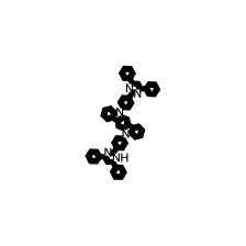 C1=C(c2ccccc2)N=C(c2ccc(-n3c4ccccc4c4cc5c(cc43)c3ccccc3n5-c3ccc(-c4nc(-c5ccccc5)cc(-c5ccccc5)n4)cc3)cc2)NC1c1ccccc1